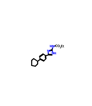 CCOC(=O)Nc1nc(-c2ccc(C3CCCCC3)cc2)c[nH]1